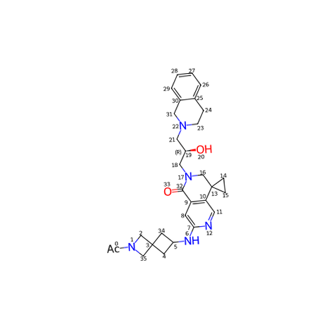 CC(=O)N1CC2(CC(Nc3cc4c(cn3)C3(CC3)CN(C[C@H](O)CN3CCc5ccccc5C3)C4=O)C2)C1